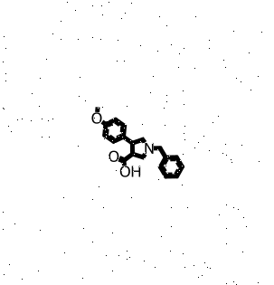 COc1ccc(C2CN(Cc3ccccc3)CC2C(=O)O)cc1